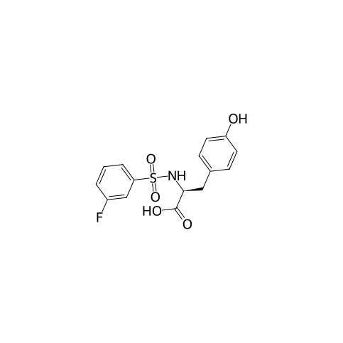 O=C(O)[C@H](Cc1ccc(O)cc1)NS(=O)(=O)c1cccc(F)c1